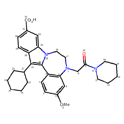 COc1ccc2c(c1)N(CC(=O)N1CCCCC1)CCn1c-2c(C2CCCCC2)c2ccc(C(=O)O)cc21